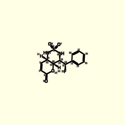 O=C1C=C[C@@H]2NS(=O)(=O)N[C@@H]([C@H](F)c3ccccc3)[C@@H]2O1